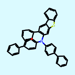 c1ccc(-c2ccc(N(c3ccc(-c4ccccc4)cc3)c3cc4sc5ccccc5c4cc3-c3ccccc3)cc2)cc1